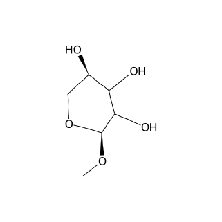 CO[C@H]1OC[C@@H](O)C(O)C1O